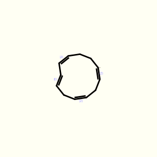 [C]1=C\C/C=C\C/C=C/C=C\CC/1